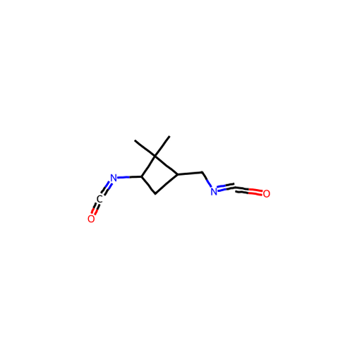 CC1(C)C(CN=C=O)CC1N=C=O